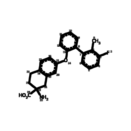 Cc1c(F)cccc1-c1ccccc1Oc1ccc2c(c1)CC(N)(C(=O)O)CC2